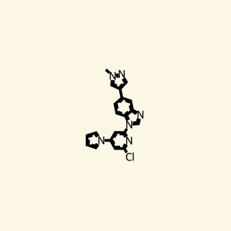 Cn1cc(-c2ccc3c(c2)ncn3-c2cc(-n3cccc3)cc(Cl)n2)cn1